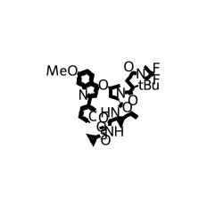 C=CC1C[C@]1(NC(=O)[C@@H]1C[C@@H](Oc2cc(-c3ccccc3)nc3cc(OC)ccc23)CN1C(=O)[C@@H](CC(=O)N1CC(F)(F)C1)C(C)(C)C)C(=O)NS(=O)(=O)C1CC1